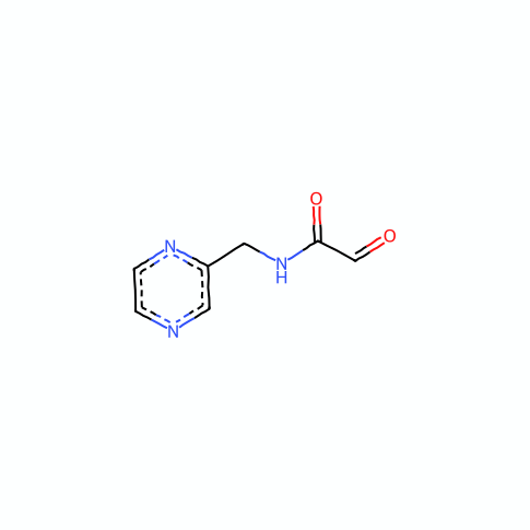 O=CC(=O)NCc1cnccn1